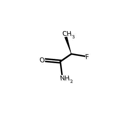 C[C@@H](F)C(N)=O